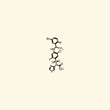 CC(Nc1cc(F)c(S(=O)(=O)N(C(=O)O)c2cscn2)cc1Cl)c1cc(Br)ccc1F